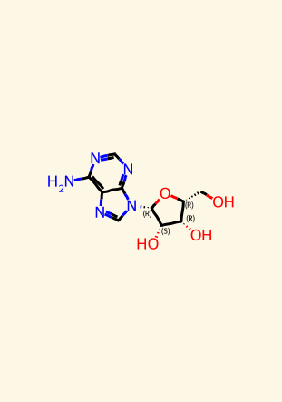 Nc1ncnc2c1ncn2[C@@H]1O[C@H](CO)[C@H](O)[C@@H]1O